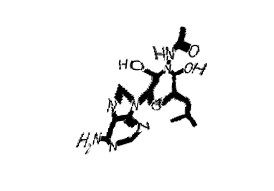 CC(=O)NN1C(O)C(CC(C)C)OC(n2cnc3c(N)ncnc32)C1O